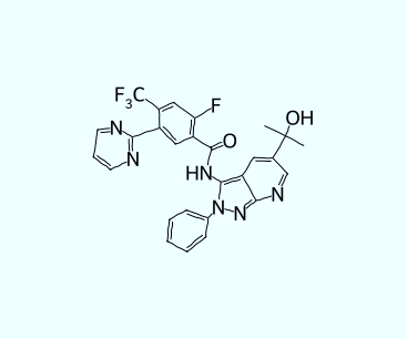 CC(C)(O)c1cnc2nn(-c3ccccc3)c(NC(=O)c3cc(-c4ncccn4)c(C(F)(F)F)cc3F)c2c1